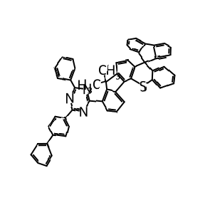 CC1(C)c2ccc3c(c2-c2cccc(-c4nc(-c5ccccc5)nc(-c5ccc(-c6ccccc6)cc5)n4)c21)Sc1ccccc1C31c2ccccc2-c2ccccc21